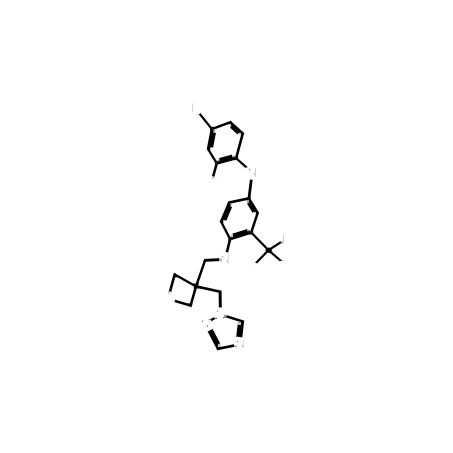 Fc1ccc(Nc2ccc(NCC3(Cn4cncn4)COC3)c(C(F)(F)F)c2)c(Cl)c1